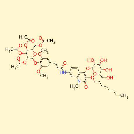 CCCCCCCCOc1c(O[C@@H]2O[C@H](CO)[C@H](O)[C@H](O)[C@H]2O)c2ccc(NC(=O)C=Cc3cc(OC)c(O[C@@H]4O[C@H](COC(C)=O)[C@H](OC(C)=O)[C@H](OC(C)=O)[C@H]4OC(C)=O)c(OC)c3)cc2n(C)c1=O